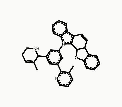 CC1=CCCNC1c1cc(-c2ncccc2C)cc(-n2c3c(c4ccccc42)C=CC2c4ccccc4OC32)c1